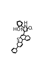 COC1=CC(C2=CC3SC4CC(C5C=CC=CC5)C=CC4C3C3C=CCCC23)=NC(c2ccccc2O)N1